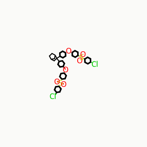 O=S(=O)(c1ccc(Cl)cc1)c1ccc(Oc2ccc(C3(c4ccc(Oc5ccc(S(=O)(=O)c6ccc(Cl)cc6)cc5)cc4)CC4CCC3C4)cc2)cc1